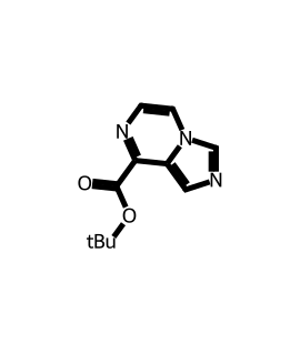 CC(C)(C)OC(=O)c1nccn2cncc12